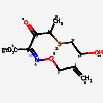 C=CCO/N=C(/C(=O)OCC)C(=O)C(C)SCCO